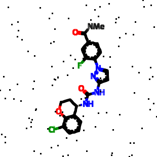 CNC(=O)c1ccc(-n2ccc(NC(=O)N[C@H]3CCOc4c(Cl)cccc43)n2)c(F)c1